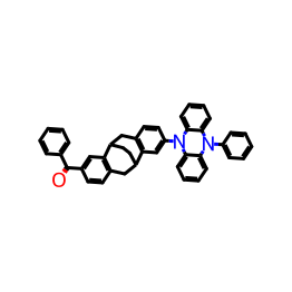 O=C(c1ccccc1)c1ccc2c(c1)C1CCC(C2)c2cc(N3c4ccccc4N(c4ccccc4)c4ccccc43)ccc2C1